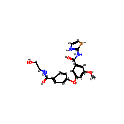 CC(C)Oc1cc(Oc2ccc(C(=O)NCCO)cc2)cc(C(=O)Nc2nccs2)c1